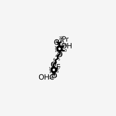 Cc1c(OCCCCOc2ccc(OC=O)cc2F)ccc(C(=O)CC(C)C)c1O